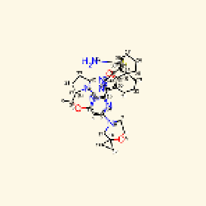 C[C@H](Oc1cc(N2CCOC3(CC3)C2)nc(-c2noc3c2CCC[C@@]32CCCc3sc(N)c(C#N)c32)n1)[C@@H]1CCCN1C